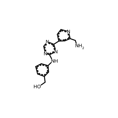 NCc1cc(-c2ncnc(Nc3cccc(CO)c3)n2)ccn1